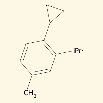 C[C](C)c1cc(C)ccc1C1CC1